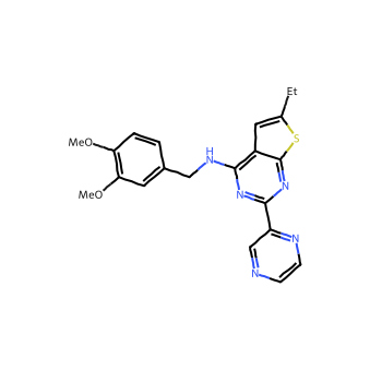 CCc1cc2c(NCc3ccc(OC)c(OC)c3)nc(-c3cnccn3)nc2s1